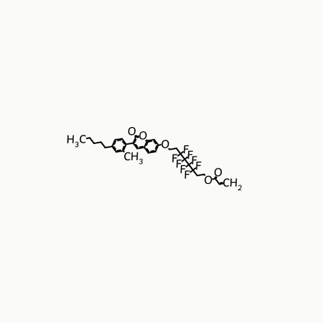 C=CC(=O)OCCC(F)(F)C(F)(F)C(F)(F)C(F)(F)CCOc1ccc2cc(-c3ccc(CCCCC)cc3C)c(=O)oc2c1